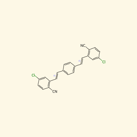 N#Cc1ccc(Cl)cc1/C=C/c1ccc(/C=C/c2cc(Cl)ccc2C#N)cc1